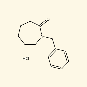 Cl.O=C1CCCCCN1Cc1ccccc1